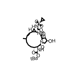 CC1/C=C\[C@@H]2C[C@@]2(C(=O)NS(=O)(=O)C2CC2)NC(=O)[C@@H]2C[C@@H](O)CN2C(=O)[C@@H](NC(=O)OC(C)(C)C)[C@H](C)CCC1